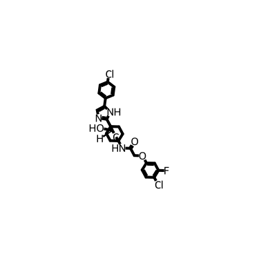 O=C(COc1ccc(Cl)c(F)c1)NC12CCC(c3ncc(-c4ccc(Cl)cc4)[nH]3)(CC1)[C@@H](O)C2